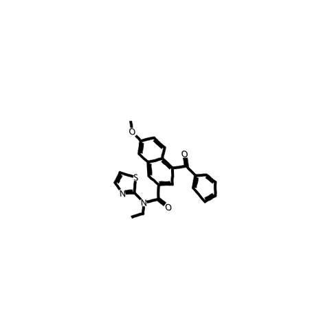 CCN(C(=O)c1cc(C(=O)c2ccccc2)c2ccc(OC)cc2c1)c1nccs1